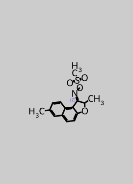 Cc1ccc2c3c(ccc2c1)OC(C)/C3=N\OS(C)(=O)=O